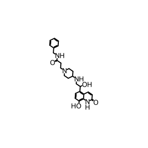 O=C(CCN1CCC(NCC(O)c2ccc(O)c3[nH]c(=O)ccc23)CC1)NCc1ccccc1